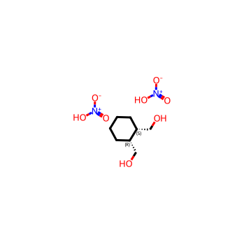 O=[N+]([O-])O.O=[N+]([O-])O.OC[C@@H]1CCCC[C@@H]1CO